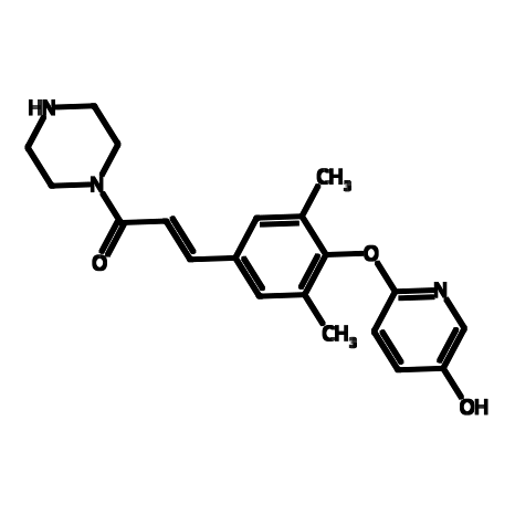 Cc1cc(C=CC(=O)N2CCNCC2)cc(C)c1Oc1ccc(O)cn1